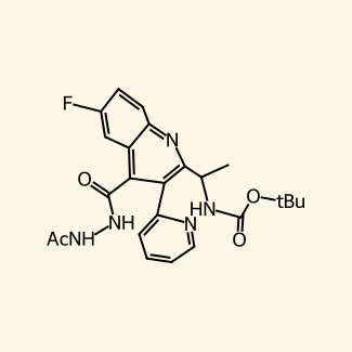 CC(=O)NNC(=O)c1c(-c2ccccn2)c(C(C)NC(=O)OC(C)(C)C)nc2ccc(F)cc12